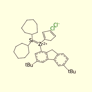 CC(C)(C)c1ccc2c(c1)-c1cc(C(C)(C)C)c[c]([Zr+2]([C]3=CC=CC3)=[Si](C3CCCCCC3)C3CCCCCC3)c1C2.[Cl-].[Cl-]